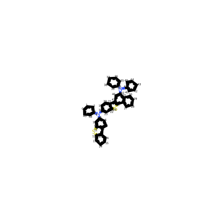 c1ccc(N(c2ccc3c(c2)sc2ccccc23)c2ccc3c(c2)sc2c4ccccc4c(N(c4ccccc4)c4ccccc4)cc32)cc1